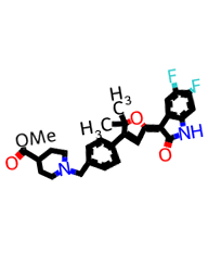 COC(=O)C1CCN(Cc2ccc(C3=C/C(=C4\C(=O)Nc5cc(F)c(F)cc54)OC3(C)C)cc2)CC1